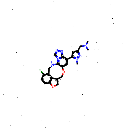 CN(C)Cc1cc(-c2cc3c(n4cnnc24)NCc2c(F)ccc4c2[C@H](CO4)CO3)n(C)n1